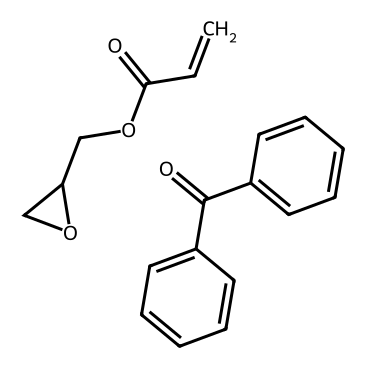 C=CC(=O)OCC1CO1.O=C(c1ccccc1)c1ccccc1